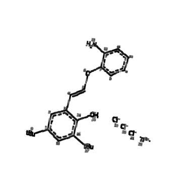 CC(C)(C)c1cc(C=COc2ccccc2N)c(O)c(C(C)(C)C)c1.[Cl-].[Cl-].[Cl-].[Ti+3]